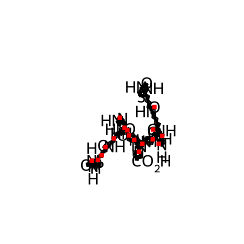 O=C(CCCCC1SCC2NC(=O)NC21)NCCCCCC(=O)NC(Cc1c[nH]cn1)C(=O)NC1CCN(c2nc(N3CCC(NC(=O)C(Cc4c[nH]cn4)NC(=O)CCCCCNC(=O)CCCCC4SC[C@H]5NC(=O)NC45)CC3)nc(N3CCC(C(=O)O)CC3)n2)CC1